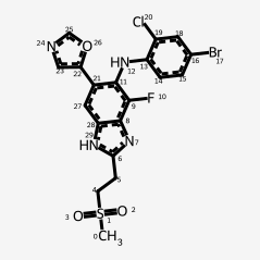 CS(=O)(=O)CCc1nc2c(F)c(Nc3ccc(Br)cc3Cl)c(-c3cnco3)cc2[nH]1